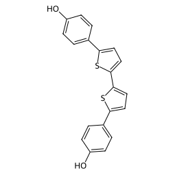 Oc1ccc(-c2ccc(-c3ccc(-c4ccc(O)cc4)s3)s2)cc1